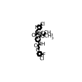 CC(C)(C)OC(=O)N1C[C@@H](NC(=O)COc2ccc(Cl)c(F)c2)CC[C@@H]1C(=O)NCc1ccc(Cl)cn1